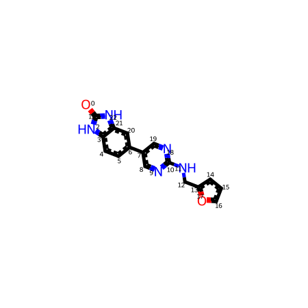 O=c1[nH]c2ccc(-c3cnc(NCc4ccco4)nc3)cc2[nH]1